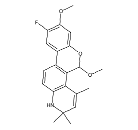 COc1cc2c(cc1F)-c1ccc3c(c1C(OC)O2)C(C)=CC(C)(C)N3